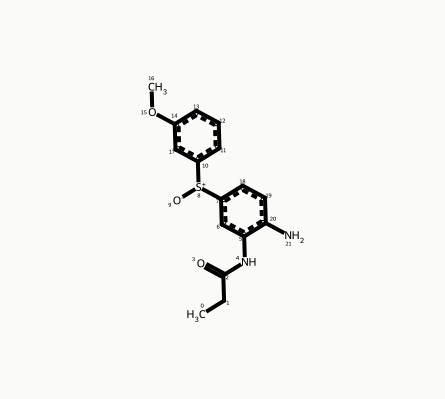 CCC(=O)Nc1cc([S+]([O-])c2cccc(OC)c2)ccc1N